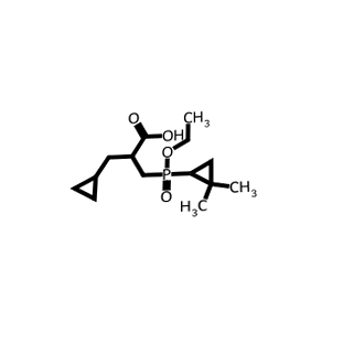 CCOP(=O)(CC(CC1CC1)C(=O)O)C1CC1(C)C